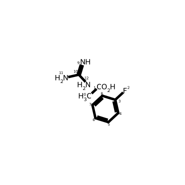 CC(=O)O.Fc1ccccc1.N=C(N)N